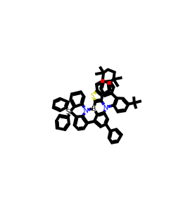 CC(C)(C)c1ccc(N2c3cc(-c4ccccc4)cc4c3B(c3sc5cc6c(cc5c32)C(C)(C)CCC6(C)C)N2c3ccccc3[Si](c3ccccc3)(c3ccccc3)c3cccc-4c32)c(-c2ccccc2)c1